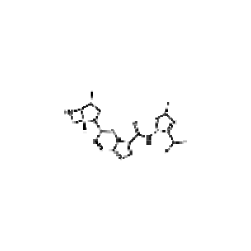 C[C@H]1CN(c2ncc3ccc(C(=O)Nc4cn(C)nc4C(F)F)n3n2)[C@@H]2CNC21